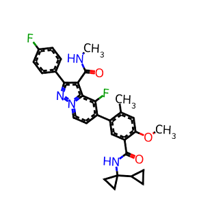 CNC(=O)c1c(-c2ccc(F)cc2)nn2ccc(-c3cc(C(=O)NC4(C5CC5)CC4)c(OC)cc3C)c(F)c12